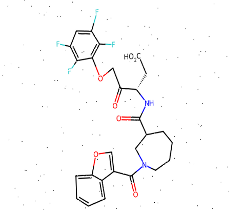 O=C(O)C[C@H](NC(=O)C1CCCCN(C(=O)c2coc3ccccc23)C1)C(=O)COc1c(F)c(F)cc(F)c1F